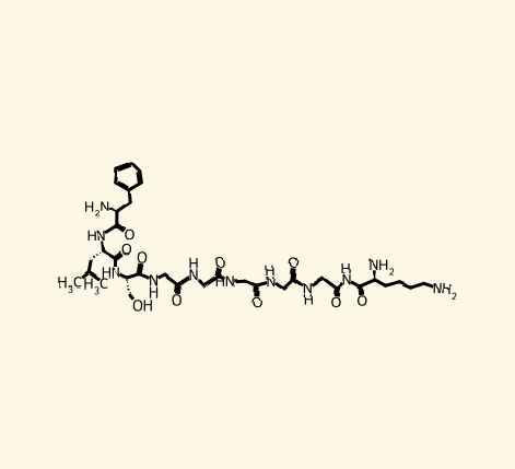 CC(C)C[C@H](NC(=O)[C@@H](N)Cc1ccccc1)C(=O)N[C@@H](CO)C(=O)NCC(=O)NCC(=O)NCC(=O)NCC(=O)NCC(=O)NC(=O)[C@@H](N)CCCCN